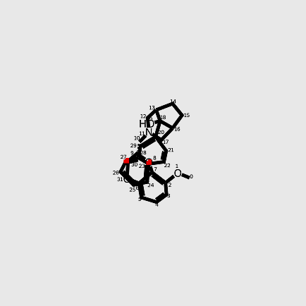 COc1cccc2c1O[C@@H](CN1CC3CCC(C1)C3(O)c1ccc3ccccc3c1)CO2